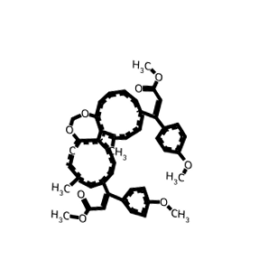 COC(=O)/C=C(/c1ccc(OC)cc1)c1cccc2c(ccc(C)c1)OCOc1ccccc(/C(=C\C(=O)OC)c3ccc(OC)cc3)ccc(C)c1-2